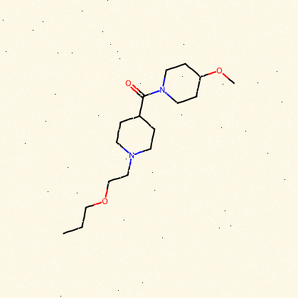 CCCOCCN1CCC(C(=O)N2CCC(OC)CC2)CC1